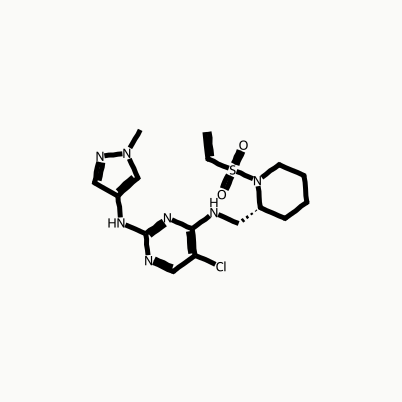 C=CS(=O)(=O)N1CCCC[C@@H]1CNc1nc(Nc2cnn(C)c2)ncc1Cl